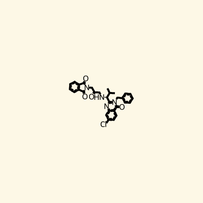 CC(C)[C@@H](NCC(=O)CN1C(=O)c2ccccc2C1=O)c1nc2cc(Cl)ccc2c(=O)n1Cc1ccccc1